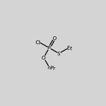 CCCOP(=O)(Cl)SCC